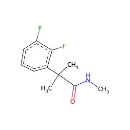 CNC(=O)C(C)(C)c1cccc(F)c1F